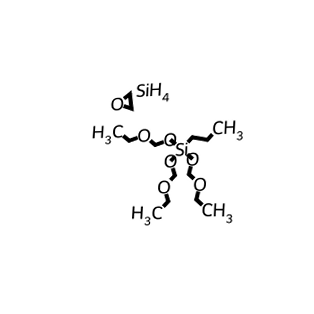 C1CO1.CCC[Si](OCOCC)(OCOCC)OCOCC.[SiH4]